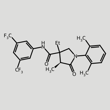 CCC1(C(=O)Nc2cc(C(F)(F)F)cc(C(F)(F)F)c2)CN(c2c(C)cccc2C)C(=O)[C@H]1C